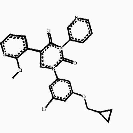 COc1ncccc1-c1cn(-c2cc(Cl)cc(OCC3CC3)c2)c(=O)n(-c2cccnc2)c1=O